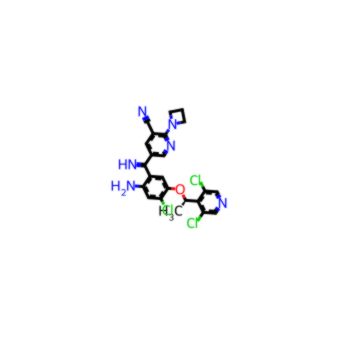 C[C@@H](Oc1cc(C(=N)c2cnc(N3CCC3)c(C#N)c2)c(N)cc1Cl)c1c(Cl)cncc1Cl